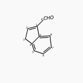 O=CC1=CCc2ccccc21